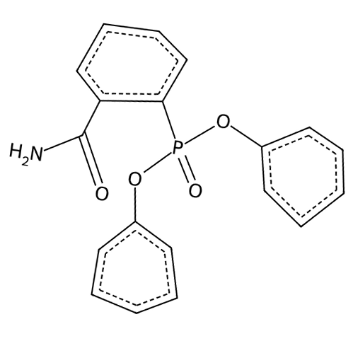 NC(=O)c1ccccc1P(=O)(Oc1ccccc1)Oc1ccccc1